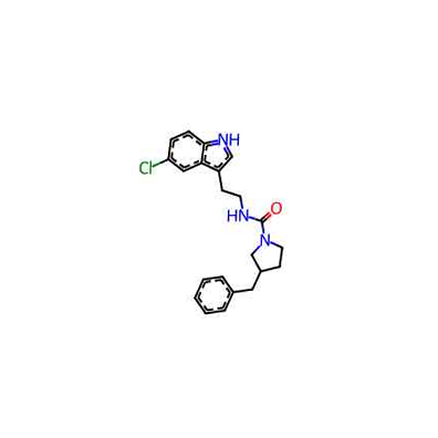 O=C(NCCc1c[nH]c2ccc(Cl)cc12)N1CCC(Cc2ccccc2)C1